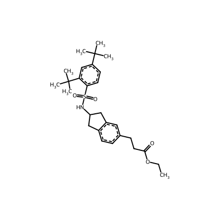 CCOC(=O)CCc1ccc2c(c1)CC(NS(=O)(=O)c1ccc(C(C)(C)C)cc1C(C)(C)C)C2